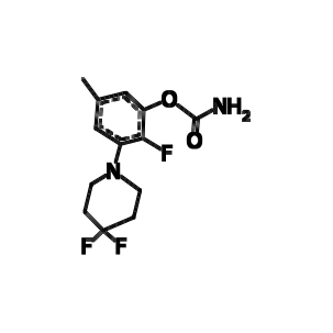 Cc1cc(OC(N)=O)c(F)c(N2CCC(F)(F)CC2)c1